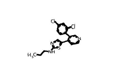 CCCNc1ncc(-c2ccncc2-c2ccc(Cl)cc2Cl)s1